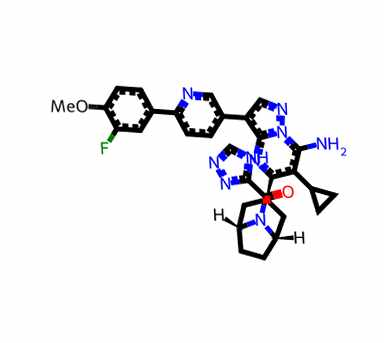 COc1ccc(-c2ccc(-c3cnn4c(N)c(C5CC5)c([C@@H]5C[C@H]6CC[C@@H](C5)N6C(=O)c5nnc[nH]5)nc34)cn2)cc1F